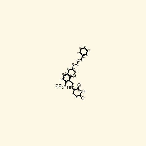 O=C1CCC(NCc2c(C(=O)O)ccc3c2OCC(CCOCc2ccccc2)C3)C(=O)N1